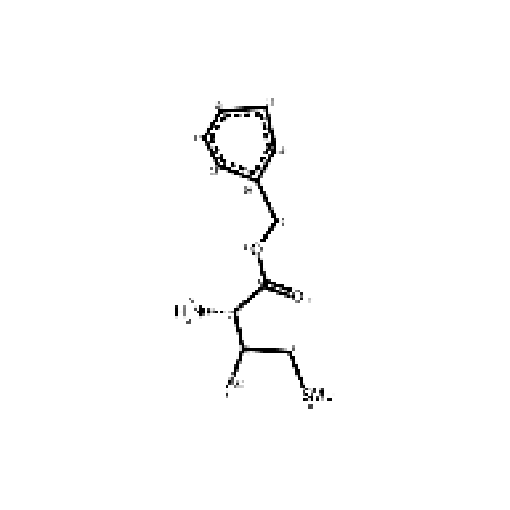 CSCC(C(C)=O)[C@H](N)C(=O)OCc1ccccc1